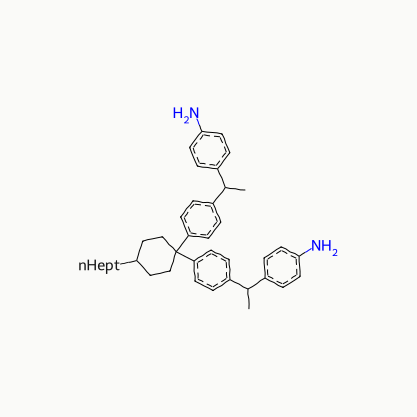 CCCCCCCC1CCC(c2ccc(C(C)c3ccc(N)cc3)cc2)(c2ccc(C(C)c3ccc(N)cc3)cc2)CC1